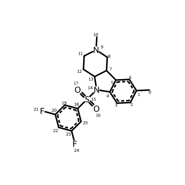 Cc1ccc2c(c1)C1CN(C)CCC1N2S(=O)(=O)c1cc(F)cc(F)c1